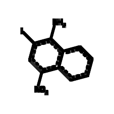 Nc1c(I)cc([N+](=O)[O-])c2ccccc12